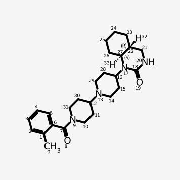 Cc1ccccc1C(=O)N1CCC(N2CCC(N3C(=O)NC[C@H]4CCCC[C@@H]43)CC2)CC1